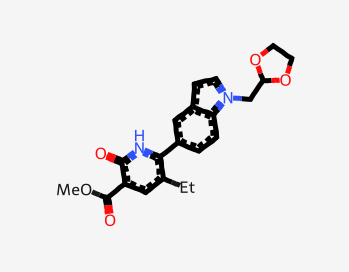 CCc1cc(C(=O)OC)c(=O)[nH]c1-c1ccc2c(ccn2CC2OCCO2)c1